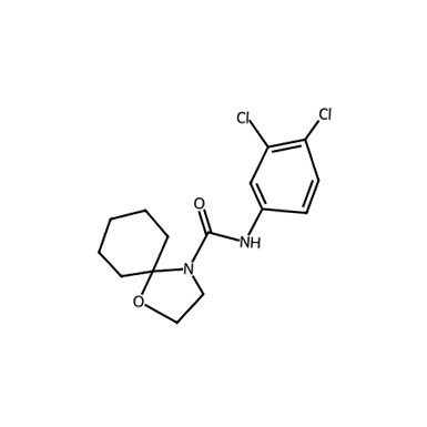 O=C(Nc1ccc(Cl)c(Cl)c1)N1CCOC12CCCCC2